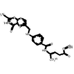 CC(C)(C)OC(=O)CCC(NC(=O)c1ccc(NCc2cnc3nc(N)[nH]c(=O)c3n2)cc1)C(=O)O